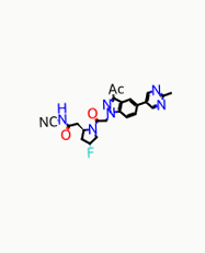 CC(=O)c1nn(CC(=O)N2C[C@H](F)C[C@H]2CC(=O)NC#N)c2ccc(-c3cnc(C)nc3)cc12